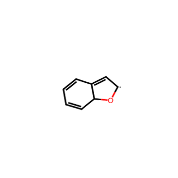 [C]1C=C2C=CC=CC2O1